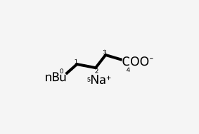 CCCCCCC[13C](=O)[O-].[Na+]